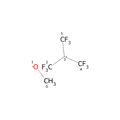 C[O].FC(F)(F)[C](C(F)(F)F)C(F)(F)F